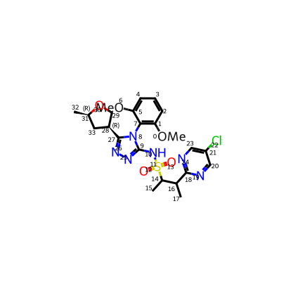 COc1cccc(OC)c1-n1c(NS(=O)(=O)C(C)C(C)c2ncc(Cl)cn2)nnc1[C@@H]1CO[C@H](C)C1